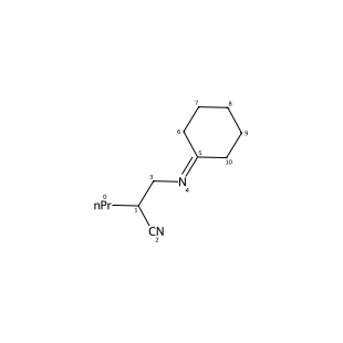 CCCC(C#N)CN=C1CCCCC1